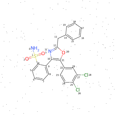 NS(=O)(=O)c1ccccc1-c1nc(Cc2ccccc2)oc1-c1ccc(Cl)c(Cl)c1